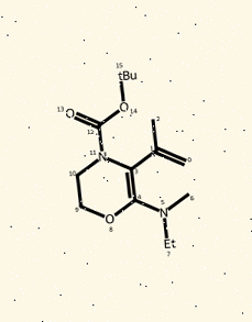 C=C(C)C1=C(N(C)CC)OCCN1C(=O)OC(C)(C)C